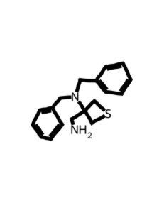 NCC1(N(Cc2ccccc2)Cc2ccccc2)CSC1